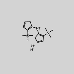 C[Si](C)(C)C1=[C]([Hf][C]2=C([Si](C)(C)C)C=CC2)CC=C1.[H-].[H-]